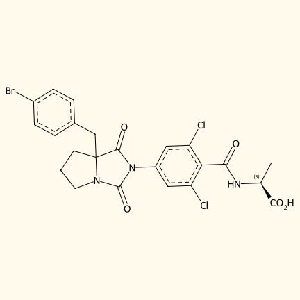 C[C@H](NC(=O)c1c(Cl)cc(N2C(=O)N3CCCC3(Cc3ccc(Br)cc3)C2=O)cc1Cl)C(=O)O